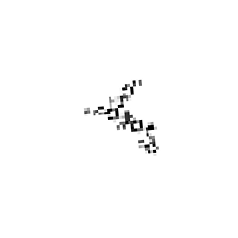 COc1ccc(NC(=O)c2ccc(C3(CCN4CCCC4=O)CC3)cc2)c(C(=O)Nc2ccc(Cl)cn2)c1